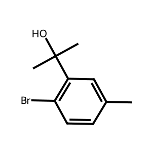 Cc1ccc(Br)c(C(C)(C)O)c1